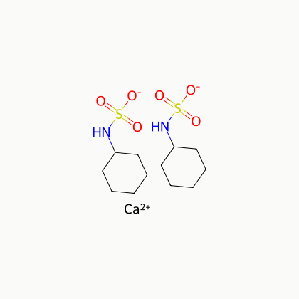 O=S(=O)([O-])NC1CCCCC1.O=S(=O)([O-])NC1CCCCC1.[Ca+2]